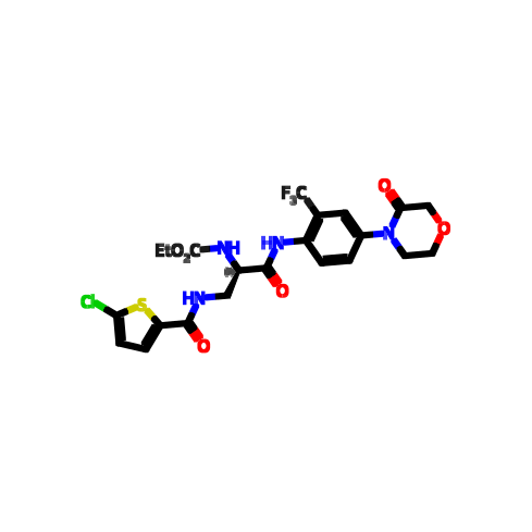 CCOC(=O)N[C@H](CNC(=O)c1ccc(Cl)s1)C(=O)Nc1ccc(N2CCOCC2=O)cc1C(F)(F)F